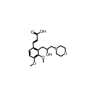 COc1ccc(C=CC(=O)O)c(CC(O)CN2CCOCC2)c1OC